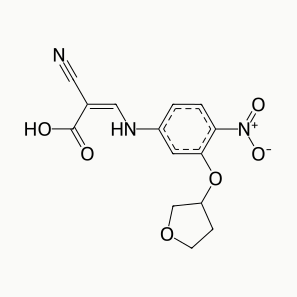 N#C/C(=C/Nc1ccc([N+](=O)[O-])c(OC2CCOC2)c1)C(=O)O